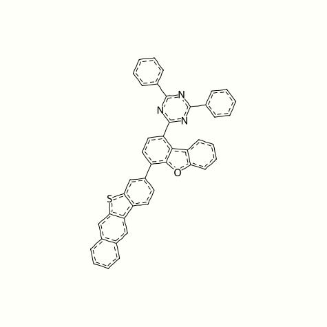 c1ccc(-c2nc(-c3ccccc3)nc(-c3ccc(-c4ccc5c(c4)sc4cc6ccccc6cc45)c4oc5ccccc5c34)n2)cc1